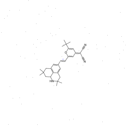 CC1(C)Cc2cc(/C=C/C3=CC(=C(C#N)C#N)C=C(C(C)(C)C)O3)cc3c2C(C1)NC(C)(C)C3